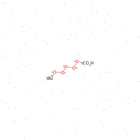 CC(C)(C)OOOOOC(=O)O